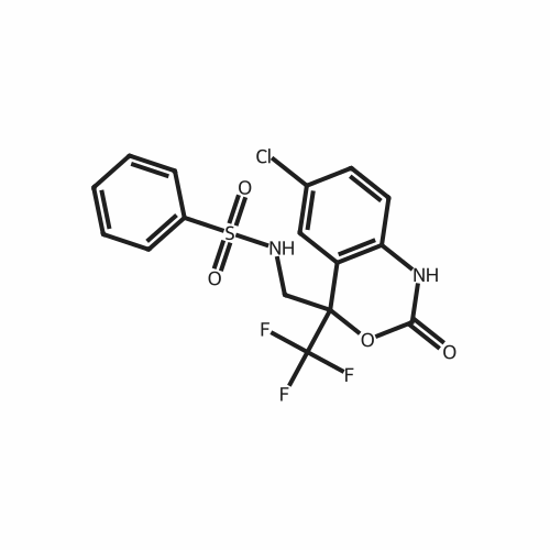 O=C1Nc2ccc(Cl)cc2C(CNS(=O)(=O)c2ccccc2)(C(F)(F)F)O1